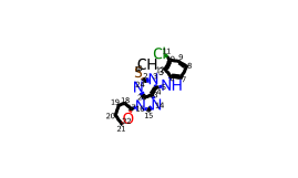 CSc1nc(Nc2cccc(Cl)c2)c2ncn(C3CCCCO3)c2n1